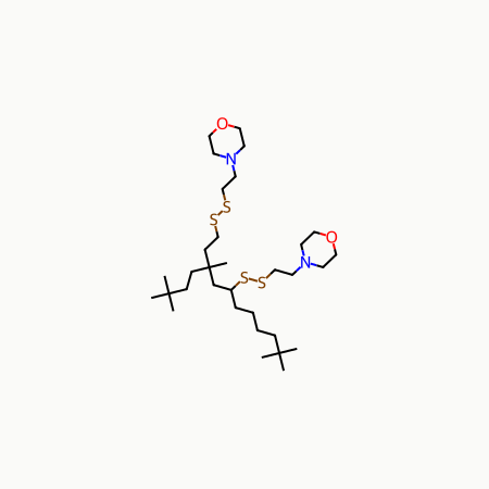 CC(C)(C)CCCCC(CC(C)(CCSSCCN1CCOCC1)CCC(C)(C)C)SSCCN1CCOCC1